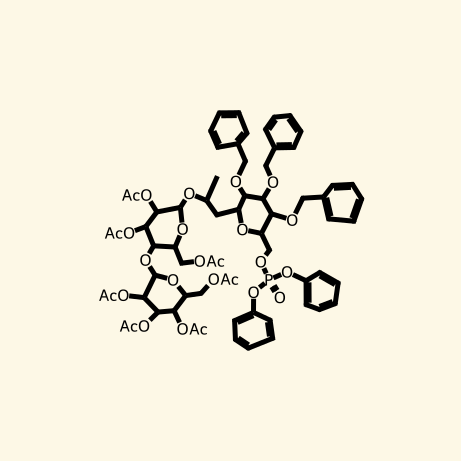 CC(=O)OCC1OC(OC2C(COC(C)=O)OC(OC(C)CC3OC(COP(=O)(Oc4ccccc4)Oc4ccccc4)C(OCc4ccccc4)C(OCc4ccccc4)C3OCc3ccccc3)C(OC(C)=O)C2OC(C)=O)C(OC(C)=O)C(OC(C)=O)C1OC(C)=O